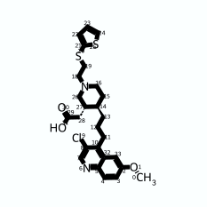 COc1ccc2ncc(Cl)c(CCC[C@@H]3CCN(CCSc4cccs4)C[C@H]3CC(=O)O)c2c1